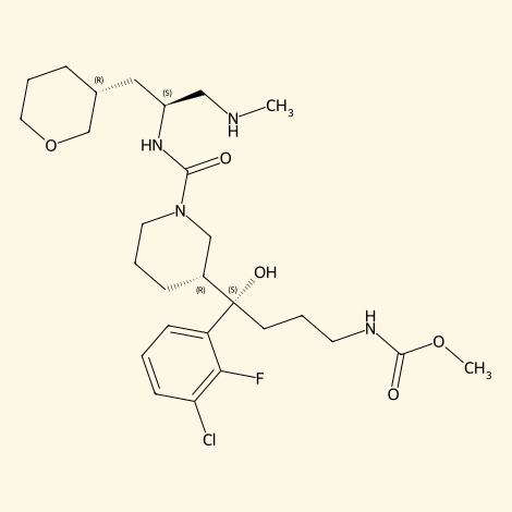 CNC[C@H](C[C@H]1CCCOC1)NC(=O)N1CCC[C@@H]([C@@](O)(CCCNC(=O)OC)c2cccc(Cl)c2F)C1